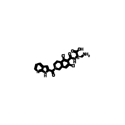 NC[C@H](NC(=O)c1c(Cl)cc2c(c1Cl)CCN(C(=O)c1cc3cccnc3[nH]1)C2)C(=O)O